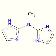 CN(c1ncc[nH]1)c1ncc[nH]1